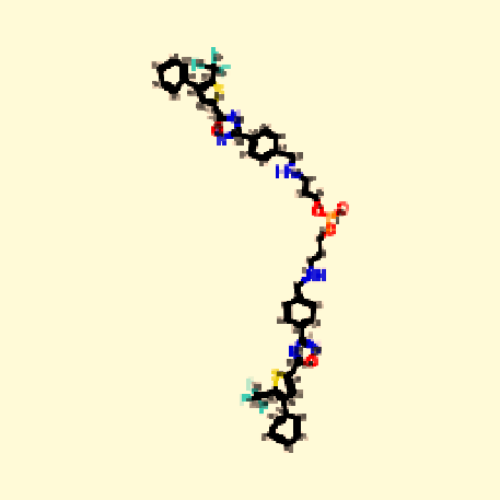 O=[PH](OCCCNCc1ccc(-c2noc(-c3cc(-c4ccccc4)c(C(F)(F)F)s3)n2)cc1)OCCCNCc1ccc(-c2noc(-c3cc(-c4ccccc4)c(C(F)(F)F)s3)n2)cc1